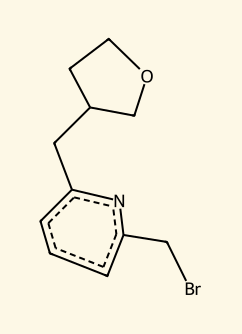 BrCc1cccc(CC2CCOC2)n1